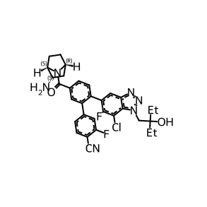 CCC(O)(CC)Cn1nnc2cc(-c3ccc(C(=O)N4[C@@H]5CC[C@H]4[C@@H](N)C5)cc3-c3ccc(C#N)c(F)c3)c(F)c(Cl)c21